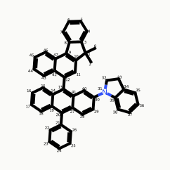 CC1(C)c2ccccc2-c2c1cc(-c1c3ccccc3c(-c3ccccc3)c3ccc(N4CCc5ccccc54)cc13)c1ccccc21